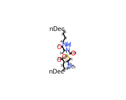 CCCCCCCCCCCCCCNC(=O)[C@H](COC(=O)CCCCCCCCCCCCC)NC(=O)SCCN(C)C